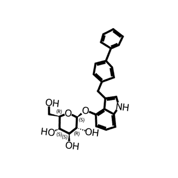 OC[C@H]1O[C@@H](Oc2cccc3[nH]cc(Cc4ccc(-c5ccccc5)cc4)c23)[C@H](O)[C@@H](O)[C@@H]1O